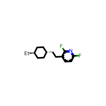 CC[C@H]1CC[C@H](CCc2ccc(F)nc2F)CC1